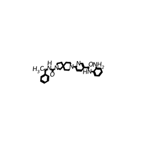 C[C@H](NC(=O)N1CCC2(CCN(c3ccc(C(=O)Nc4ccccc4N)cn3)CC2)C1)c1ccccc1